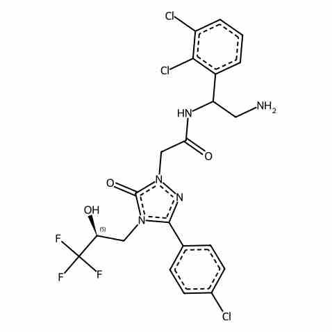 NCC(NC(=O)Cn1nc(-c2ccc(Cl)cc2)n(C[C@H](O)C(F)(F)F)c1=O)c1cccc(Cl)c1Cl